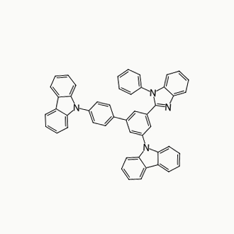 c1ccc(-n2c(-c3cc(-c4ccc(-n5c6ccccc6c6ccccc65)cc4)cc(-n4c5ccccc5c5ccccc54)c3)nc3ccccc32)cc1